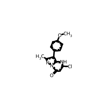 COc1ccc(-c2c(C)nn3c(=O)cc(Cl)[nH]c23)cc1